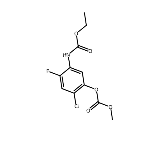 CCOC(=O)Nc1cc(OC(=O)OC)c(Cl)cc1F